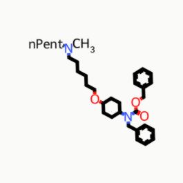 CCCCCN(C)CCCCCCOC1CCC(N(Cc2ccccc2)C(=O)OCc2ccccc2)CC1